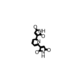 O=C1C=C(c2cccc(C3=CC(=O)NC3=O)n2)C(=O)N1